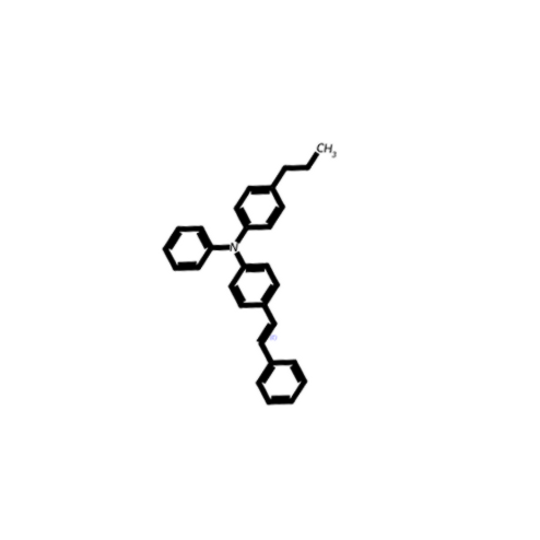 CCCc1ccc(N(c2ccccc2)c2ccc(/C=C/c3ccccc3)cc2)cc1